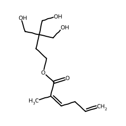 C=CCC=C(C)C(=O)OCCC(CO)(CO)CO